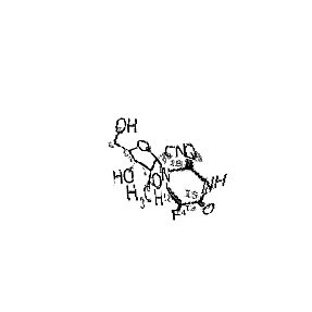 C[C@@]1(O)[C@H](O)[C@@H](CO)O[C@@]1(C#N)n1cc(F)c(=O)[nH]c1=O